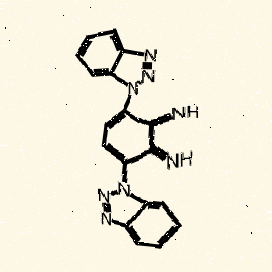 N=C1C(=N)C(n2nnc3ccccc32)=CC=C1n1nnc2ccccc21